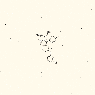 Cc1ccc(-c2c3c(nc(C)c2[C@H](OC(C)(C)C)C(=O)O)CCN(Cc2cccc(Cl)c2)C3)cc1